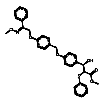 CON=C(COc1ccc(COc2ccc(C(O)C(Sc3ccccc3)C(=O)OC)cc2)cc1)c1ccccc1